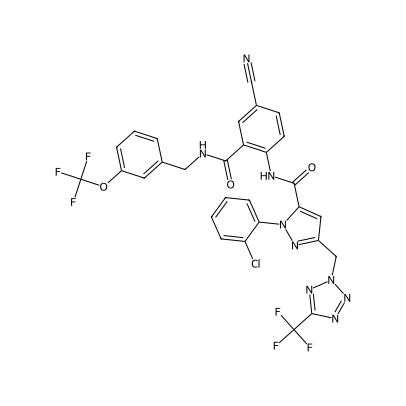 N#Cc1ccc(NC(=O)c2cc(Cn3nnc(C(F)(F)F)n3)nn2-c2ccccc2Cl)c(C(=O)NCc2cccc(OC(F)(F)F)c2)c1